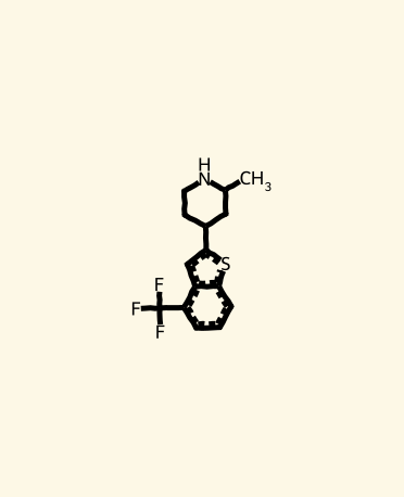 CC1CC(c2cc3c(C(F)(F)F)cccc3s2)CCN1